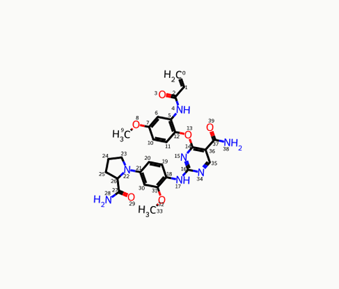 C=CC(=O)Nc1cc(OC)ccc1Oc1nc(Nc2ccc(N3CCCC3C(N)=O)cc2OC)ncc1C(N)=O